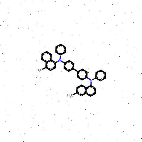 Cc1ccc2c(N(c3ccccc3)c3ccc(-c4ccc(N(c5ccccc5)c5ccc(C)c6ccccc56)cc4)cc3)cccc2c1